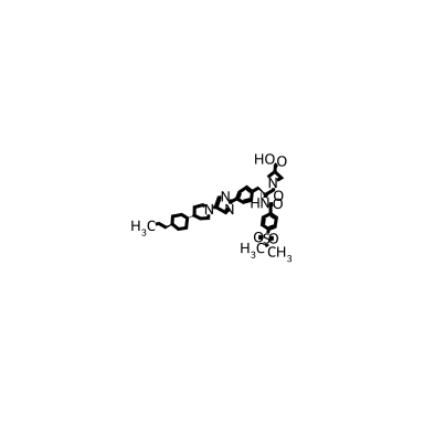 CCC[C@H]1CC[C@H](C2CCN(c3cnc(-c4ccc(C[C@H](NC(=O)c5ccc(S(=O)(=O)C(C)C)cc5)C(=O)N5CC(C(=O)O)C5)cc4)nc3)CC2)CC1